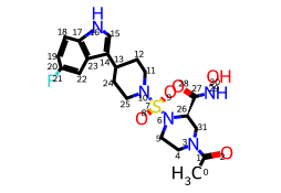 CC(=O)N1CCN(S(=O)(=O)N2CCC(c3c[nH]c4ccc(F)cc34)CC2)[C@@H](C(=O)NO)C1